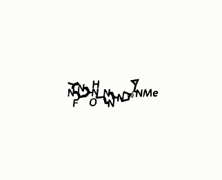 CNC(C1CC1)[C@@H]1CCN(c2cnc(C(=O)Nc3cc(F)c4nc(C)cn4c3)cn2)C1